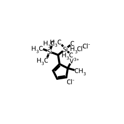 C[C]1([V+3])C=CC=C1C([Si](C)(C)C)[Si](C)(C)C.[Cl-].[Cl-].[Cl-]